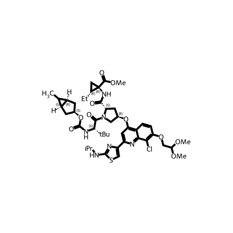 CC[C@@H]1C[C@]1(NC(=O)[C@@H]1C[C@@H](Oc2cc(-c3csc(NC(C)C)n3)nc3c(Cl)c(OCC(OC)OC)ccc23)CN1C(=O)[C@@H](NC(=O)O[C@@H]1C[C@@H]2C(C)[C@@H]2C1)C(C)(C)C)C(=O)OC